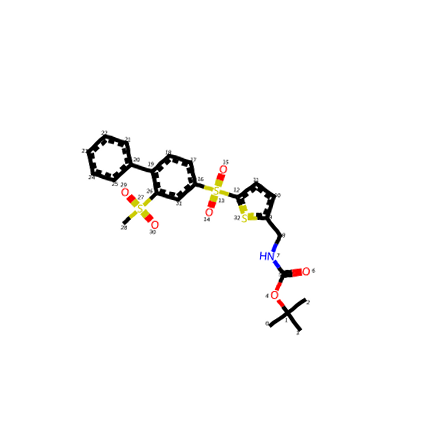 CC(C)(C)OC(=O)NCc1ccc(S(=O)(=O)c2ccc(-c3ccccc3)c(S(C)(=O)=O)c2)s1